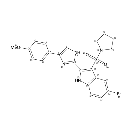 COc1ccc(-c2c[nH]c(-c3[nH]c4ccc(Br)cc4c3S(=O)(=O)N3CCCC3)n2)cc1